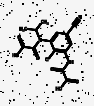 CC(C)N(C(=O)C(=O)O)c1cc(C#N)cc(NC(=O)C(=O)O)c1Cl